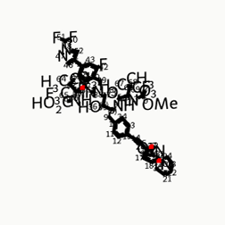 COC(=O)N[C@H](C(=O)N[C@@H](Cc1ccc(C#Cc2ccc(N3C4CC3CN(C3COC3)C4)nc2)cc1)[C@@H](O)CN(Cc1c(F)cc(-c2cnn(C(F)F)c2)cc1F)NC(=O)[C@@H](NC(=O)O)C(C)(C)C(F)(F)F)C(C)(C)C(F)(F)F